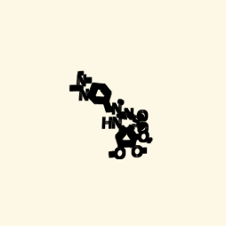 COc1cc2c(c(OC)c1OC)S(=O)(=O)N=C(N(C)Cc1cccc(N=C(C)N(C)C)c1)N2